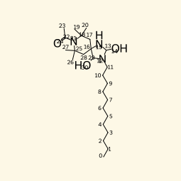 CCCCCCCCCCCCN1C(O)NC2(CC(C)(C)N(C(C)=O)C(C)(C)C2)C1O